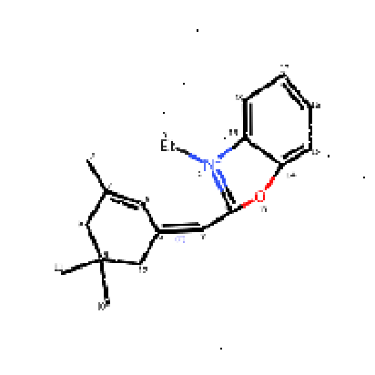 CC[n+]1c(/C=C2\C=C(C)CC(C)(C)C2)oc2ccccc21